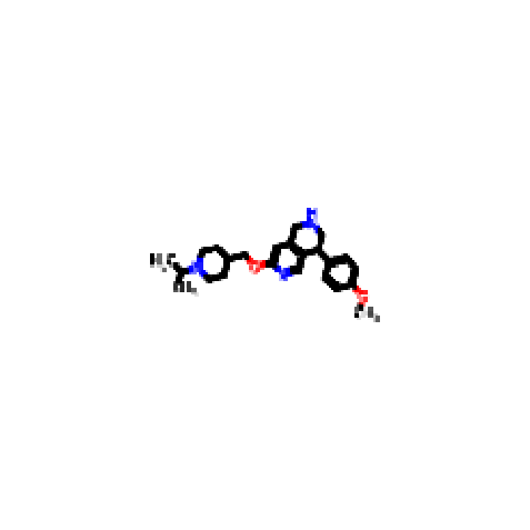 COc1ccc(C2CNCc3cc(OCC4CCN(C(C)C)CC4)ncc32)cc1